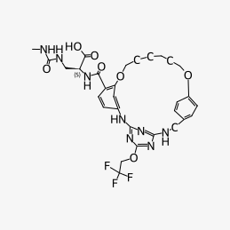 CNC(=O)NC[C@H](NC(=O)c1ccc2cc1OCCCCCCOc1ccc(cc1)CNc1nc(nc(OCC(F)(F)F)n1)N2)C(=O)O